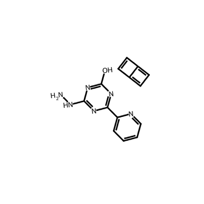 NNc1nc(O)nc(-c2ccccn2)n1.c1cc2ccc1-2